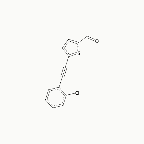 O=Cc1ccc(C#Cc2ccccc2Cl)s1